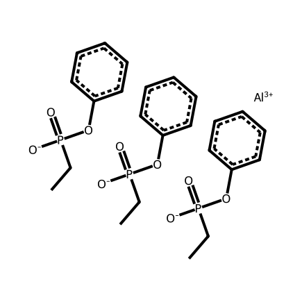 CCP(=O)([O-])Oc1ccccc1.CCP(=O)([O-])Oc1ccccc1.CCP(=O)([O-])Oc1ccccc1.[Al+3]